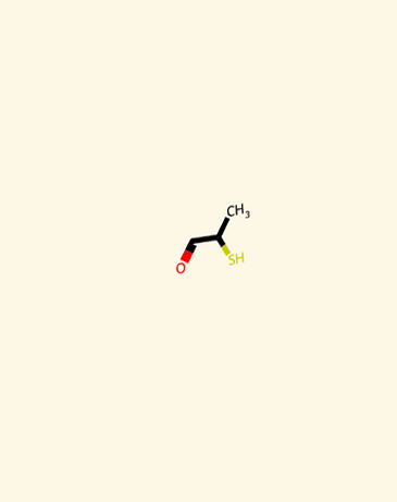 CC(S)C=O